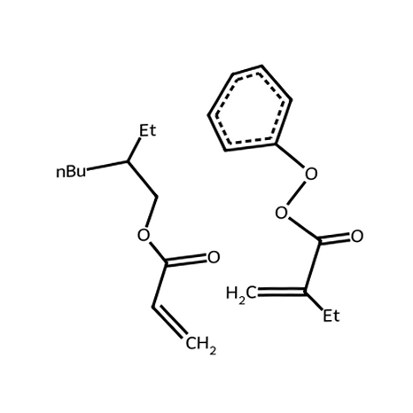 C=C(CC)C(=O)OOc1ccccc1.C=CC(=O)OCC(CC)CCCC